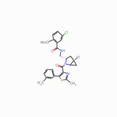 COc1ccc(Cl)cc1C(=O)NC[C@@H]1C[C@@H]2CC2N1C(=O)c1nc(C)sc1-c1cccc(C)c1